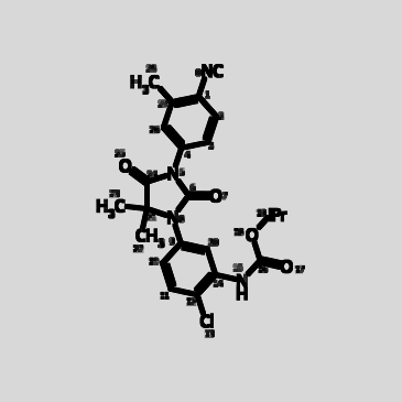 [C-]#[N+]c1ccc(N2C(=O)N(c3ccc(Cl)c(NC(=O)OC(C)C)c3)C(C)(C)C2=O)cc1C